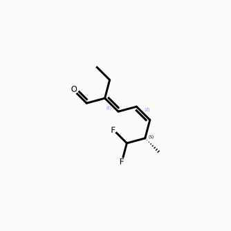 CC/C(C=O)=C\C=C/[C@H](C)C(F)F